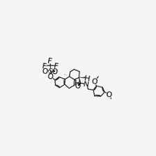 COc1ccc(CNC(=O)[C@@]2(C)CCC[C@]3(C)c4cc(OS(=O)(=O)C(F)(F)F)ccc4CC[C@@H]23)c(OC)c1